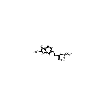 CCCCc1nc2cc(OCC(=CF)CNC(=O)O)ccc2n1C